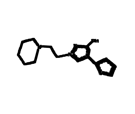 Oc1nn(CCN2CCCCC2)cc1-c1cccs1